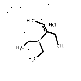 C/C=C(/CC)N(CC)CC.Cl